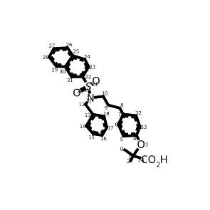 CC(C)(Oc1ccc(CCCN(Cc2ccccc2)S(=O)(=O)c2ccc3ccccc3c2)cc1)C(=O)O